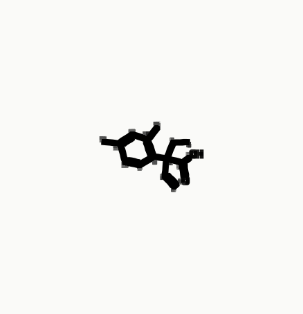 C=CC(CC)(C(=O)O)c1ccc(C)cc1C